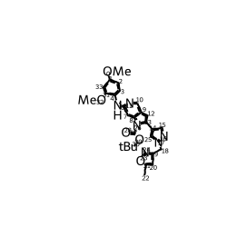 COc1ccc(Nc2cc3c(cn2)cc(-c2cnn(Cc4cc(C)on4)c2)n3C(=O)OC(C)(C)C)c(OC)c1